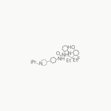 CCC1(CC)CN(c2ccccc2NC(=O)Nc2ccc(C3CCN(CC(C)C)CC3)cc2)c2c(O)ccc(F)c21